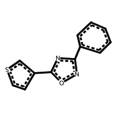 c1ccc(-c2noc(-c3ccsc3)n2)cc1